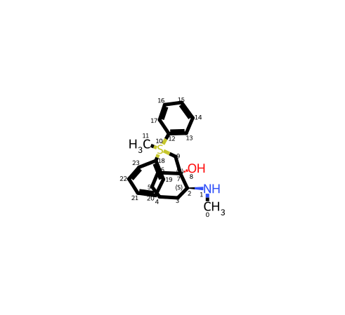 CN[C@H]1CCCC[C@@]1(O)CS(C)(c1ccccc1)c1ccccc1